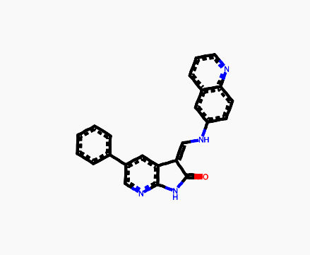 O=C1Nc2ncc(-c3ccccc3)cc2C1=CNc1ccc2ncccc2c1